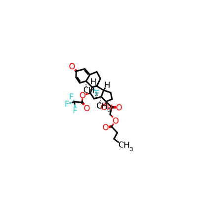 CCCC(=O)OCC(=O)[C@@]1(O)CC[C@H]2[C@@H]3CCC4=CC(=O)C=C[C@]4(C)[C@@]3(F)C(OC(=O)C(F)(F)F)C[C@@]21C